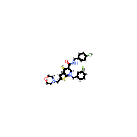 O=C(NCc1ccc(Cl)cc1)c1cn(Cc2cccc(F)c2)c2sc(CN3CCOCC3)cc2c1=S